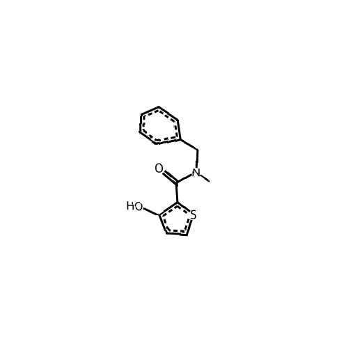 CN(Cc1ccccc1)C(=O)c1sccc1O